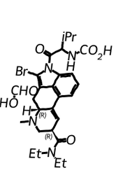 CCN(CC)C(=O)[C@@H]1C=C2c3cccc4c3c(c(Br)n4C(=O)C(NC(=O)O)C(C)C)C[C@H]2N(C)C1.O=CO